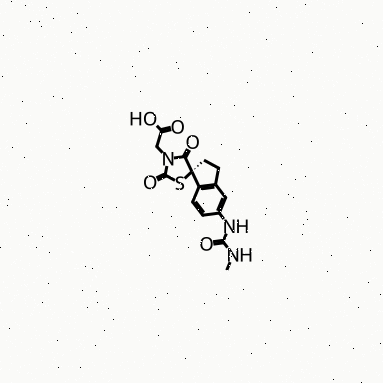 CNC(=O)Nc1ccc2c(c1)CC[C@@]21SC(=O)N(CC(=O)O)C1=O